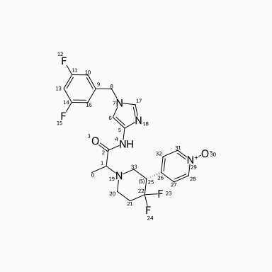 CC(C(=O)Nc1cn(Cc2cc(F)cc(F)c2)cn1)N1CCC(F)(F)[C@@H](c2cc[n+]([O-])cc2)C1